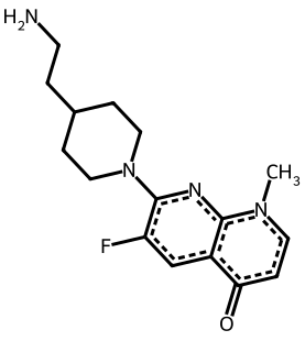 Cn1ccc(=O)c2cc(F)c(N3CCC(CCN)CC3)nc21